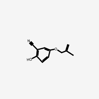 C=C(C)COc1ccc(O)c(C#N)c1